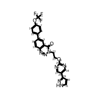 O=c1c2cc(-c3ccc(OC(F)(F)F)cc3)ccc2nnn1CCOc1ncc(-c2cc[nH]n2)cn1